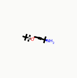 CC(C)(N)C#CCO[Si](C)(C)C(C)(C)C